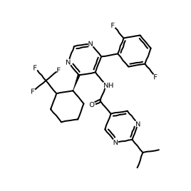 CC(C)c1ncc(C(=O)Nc2c(-c3cc(F)ccc3F)ncnc2[C@H]2CCCCC2C(F)(F)F)cn1